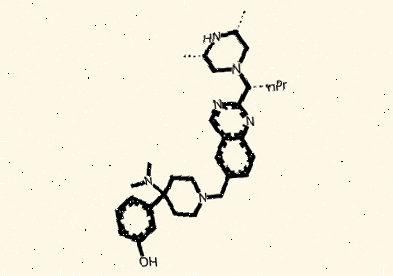 CCC[C@H](c1ncc2cc(CN3CCC(c4cccc(O)c4)(N(C)C)CC3)ccc2n1)N1C[C@@H](C)N[C@@H](C)C1